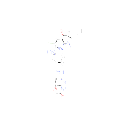 Cn1cc(C(=O)O)c(=O)c2cc(F)c(NC3CCC(CNCc4ccc5c(n4)NC(=O)CO5)CC3)nc21